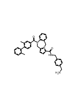 Cc1ccccc1-c1ccc(C(=O)N2Cc3ccc(C(=O)NCc4ccc(CN)cc4)n3Cc3ccccc32)cc1C